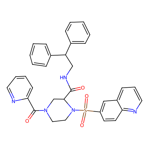 O=C(NCC(c1ccccc1)c1ccccc1)C1CN(C(=O)c2ccccn2)CCN1S(=O)(=O)c1ccc2ncccc2c1